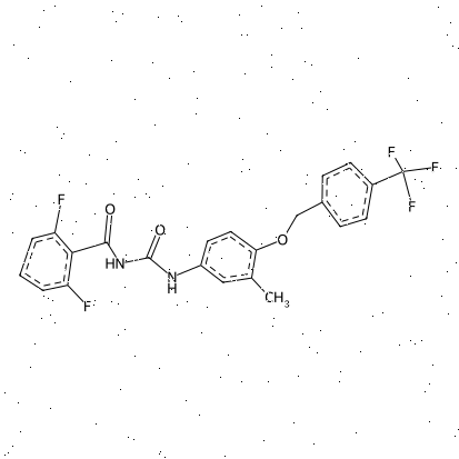 Cc1cc(NC(=O)NC(=O)c2c(F)cccc2F)ccc1OCc1ccc(C(F)(F)F)cc1